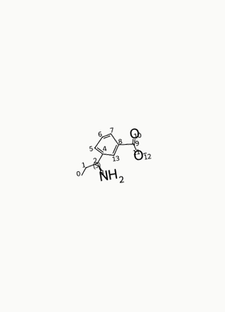 CC[C@H](N)c1cccc(C(=O)OC)c1